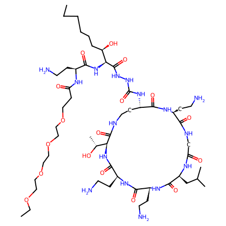 CCCCCC[C@@H](O)[C@H](NC(=O)[C@H](CCN)NC(=O)CCOCCOCCOCCOCC)C(=O)NNC(=O)N[C@H]1CCNC(=O)[C@H]([C@@H](C)O)NC(=O)[C@H](CCN)NC(=O)[C@H](CCN)NC(=O)[C@H](CC(C)C)NC(=O)CNC(=O)[C@H](CCN)NC1=O